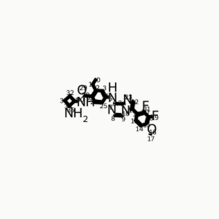 CCc1cc(Nc2nccn3c(-c4ccc(OC)c(F)c4F)cnc23)ccc1C(=O)NC1CCC1N